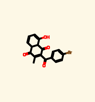 CC1=C(C(=O)c2ccc(Br)cc2)C(=O)C2C(O)=CC=CC2C1=O